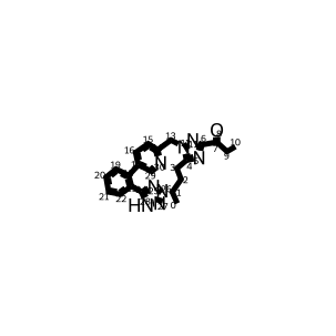 CCCCc1nc(C(=O)CC)nn1Cc1ccc(-c2ccccc2-c2nnn[nH]2)cn1